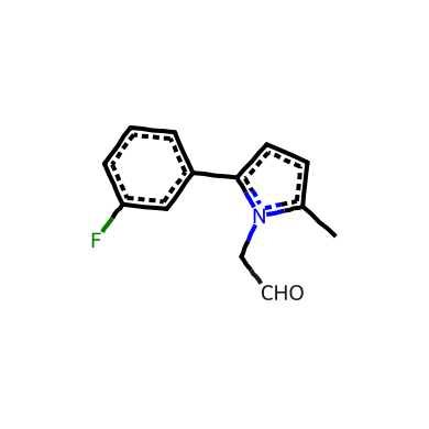 Cc1ccc(-c2cccc(F)c2)n1CC=O